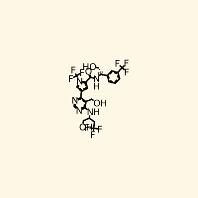 O=C(N[C@H](CO)c1cccc(C(F)(F)F)c1)c1cc(-c2ncnc(NC(CO)CC(F)(F)F)c2CO)cn1C(F)(F)F